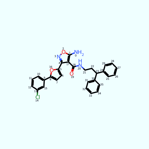 Nc1onc(-c2ccc(-c3cccc(Cl)c3)o2)c1C(=O)NCCC(c1ccccc1)c1ccccc1